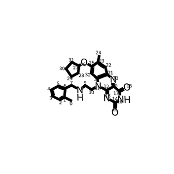 Cc1ccccc1CNCCn1c2nc(=O)[nH]c(=O)c-2nc2cc(C)c(OC3CCCC3)cc21